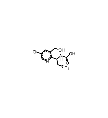 CCC(NC(=O)O)c1ncc(Cl)cc1CO